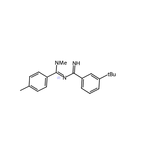 CN/C(=N\C(=N)c1cccc(C(C)(C)C)c1)c1ccc(C)cc1